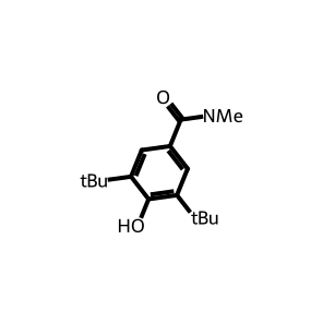 CNC(=O)c1cc(C(C)(C)C)c(O)c(C(C)(C)C)c1